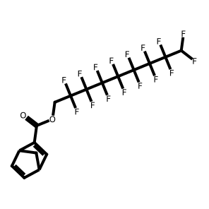 O=C(OCC(F)(F)C(F)(F)C(F)(F)C(F)(F)C(F)(F)C(F)(F)C(F)(F)C(F)F)C1=CC2C=CC1C2